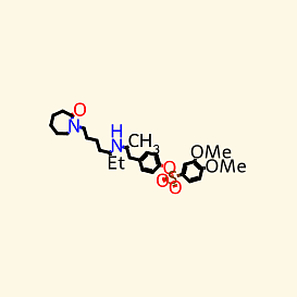 CCC(CCCCN1CCCCCC1=O)NC(C)Cc1ccc(OS(=O)(=O)c2ccc(OC)c(OC)c2)cc1